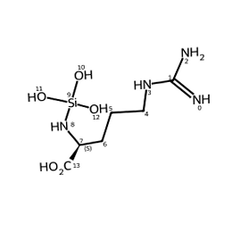 N=C(N)NCCC[C@H](N[Si](O)(O)O)C(=O)O